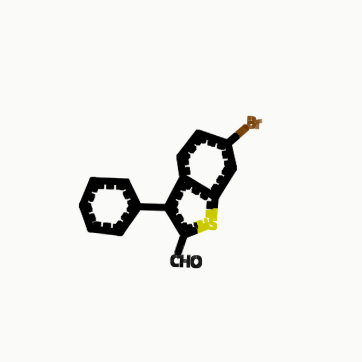 O=Cc1sc2cc(Br)ccc2c1-c1ccccc1